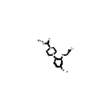 C#CCOc1cc([N+](=O)[O-])ccc1N1CCN(C(=O)OC(C)(C)C)CC1